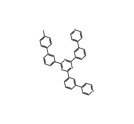 Cc1ccc(-c2cccc(-c3nc(-c4cccc(-c5ccncc5)c4)nc(-c4cccc(-c5ccncc5)c4)n3)c2)cc1